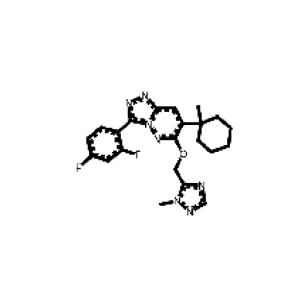 Cn1ncnc1COc1nn2c(-c3ccc(F)cc3F)nnc2cc1C1(C)CCCCC1